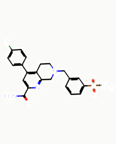 CS(=O)(=O)c1cccc(CN2CCc3c(-c4ccc(F)cc4)cc(C(N)=O)nc3C2)c1